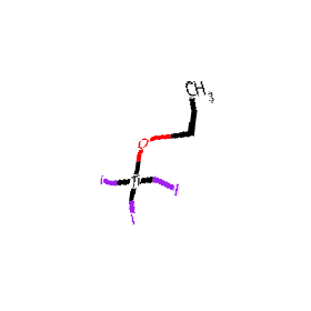 CC[O][Ti]([I])([I])[I]